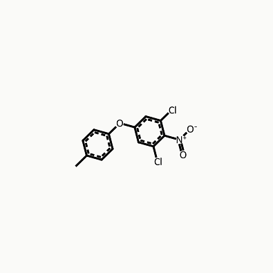 Cc1ccc(Oc2cc(Cl)c([N+](=O)[O-])c(Cl)c2)cc1